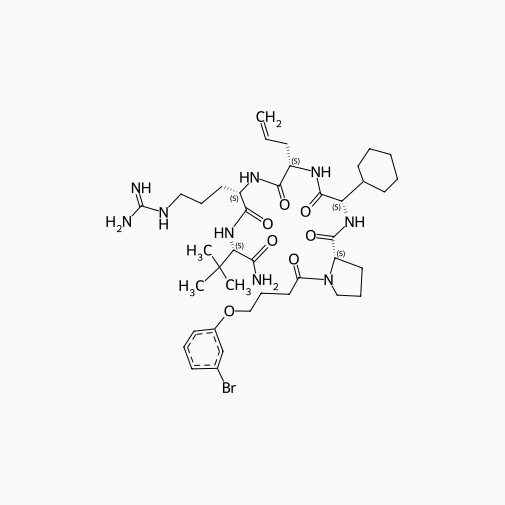 C=CC[C@H](NC(=O)[C@@H](NC(=O)[C@@H]1CCCN1C(=O)CCCOc1cccc(Br)c1)C1CCCCC1)C(=O)N[C@@H](CCCNC(=N)N)C(=O)N[C@H](C(N)=O)C(C)(C)C